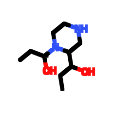 CC[C](O)N1CCNCC1C(O)CC